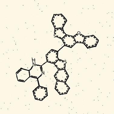 C1=CC2=C(c3ccccc3)N=C(c3ccc(-c4cc5c6ccccc6oc5c5c4sc4ccccc45)c4sc5cc6ccccc6cc5c34)NC2C=C1